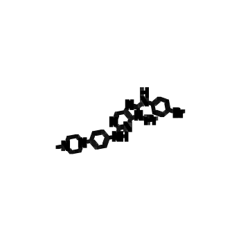 CC(C)n1c(Nc2ccc(Br)cc2)nc2cnc(Nc3ccc(N4CCN(C)CC4)cc3)nc21